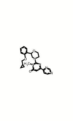 Cn1c(N2CCOC(c3ccccc3OCC3CC3)C2)nc(-c2ccncn2)cc1=O